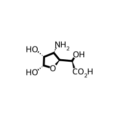 N[C@H]1[C@@H](O)[C@@H](O)O[C@@H]1[C@@H](O)C(=O)O